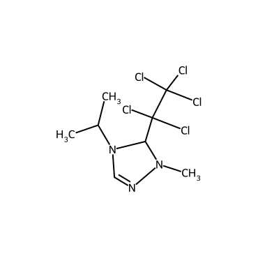 CC(C)N1C=NN(C)C1C(Cl)(Cl)C(Cl)(Cl)Cl